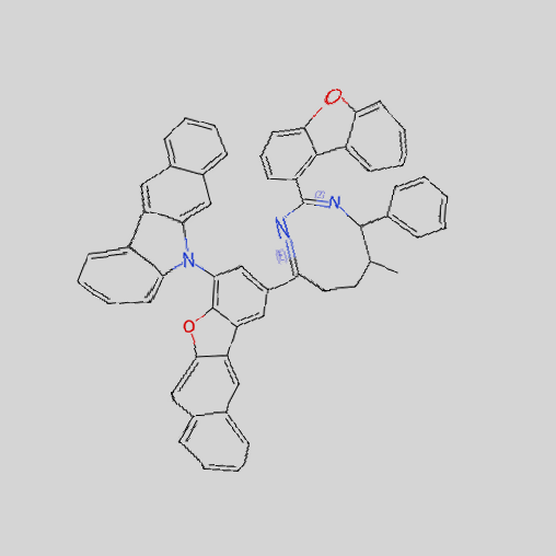 CC1CC/C(c2cc(-n3c4ccccc4c4cc5ccccc5cc43)c3oc4cc5ccccc5cc4c3c2)=N\C(c2cccc3oc4ccccc4c23)=N/C1c1ccccc1